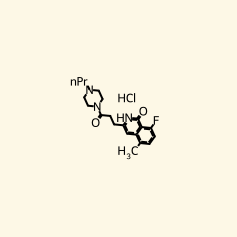 CCCN1CCN(C(=O)CCc2cc3c(C)ccc(F)c3c(=O)[nH]2)CC1.Cl